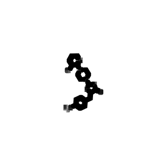 O=C1N=C(N2CCN(c3ncccc3Cl)CC2)SC1=Cc1ccc(C(F)(F)F)cc1